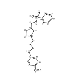 COc1ccc(OCCCN2CCC(COS(=O)(=O)c3ccccc3)C2)cc1